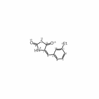 CCc1cccc(C=C2NC(=O)SC2=O)c1